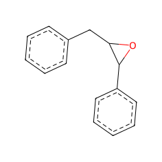 c1ccc(CC2OC2c2ccccc2)cc1